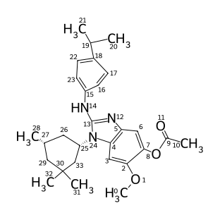 COc1cc2c(cc1OC(C)=O)nc(Nc1ccc(C(C)C)cc1)n2[C@H]1C[C@@H](C)CC(C)(C)C1